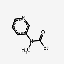 C[CH]C(=O)N(C)c1cccnc1